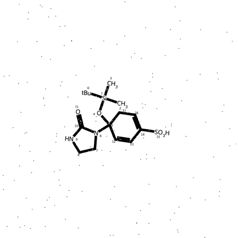 CC(C)(C)[Si](C)(C)OC1(N2CCNC2=O)C=CC(S(=O)(=O)O)=CC1